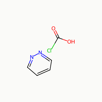 O=C(O)Cl.c1ccnnc1